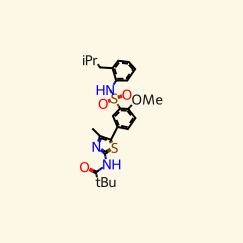 COc1ccc(-c2sc(NC(=O)C(C)(C)C)nc2C)cc1S(=O)(=O)Nc1ccccc1CC(C)C